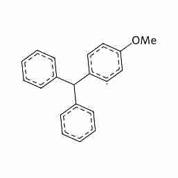 COc1c[c]c(C(c2ccccc2)c2ccccc2)cc1